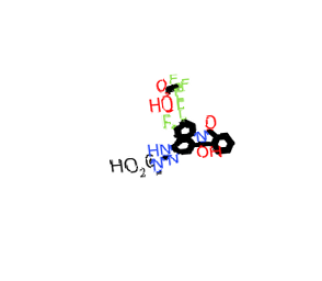 CN(C(=O)O)c1nc2cc(C3(O)c4ccccc4C(=O)N3c3ccc(F)c(F)c3)ccc2[nH]1.O=C(O)C(F)(F)F